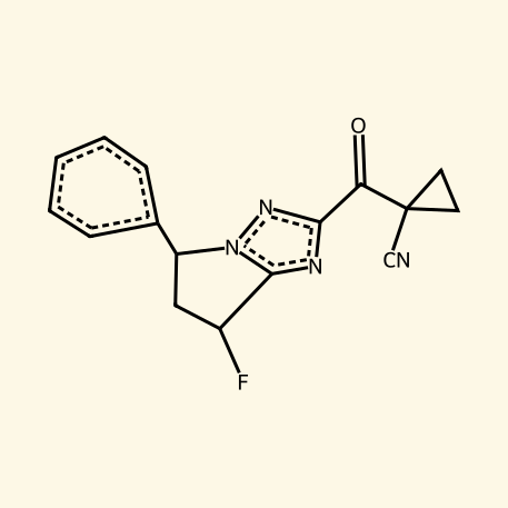 N#CC1(C(=O)c2nc3n(n2)C(c2ccccc2)CC3F)CC1